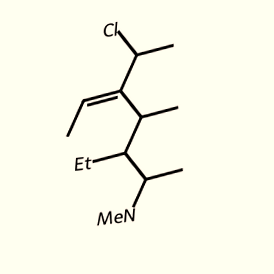 C/C=C(/C(C)Cl)C(C)C(CC)C(C)NC